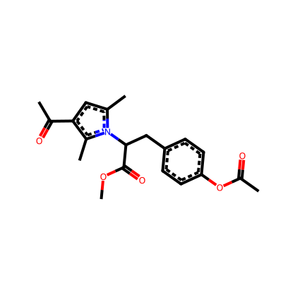 COC(=O)C(Cc1ccc(OC(C)=O)cc1)n1c(C)cc(C(C)=O)c1C